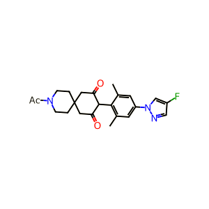 CC(=O)N1CCC2(CC1)CC(=O)C(c1c(C)cc(-n3cc(F)cn3)cc1C)C(=O)C2